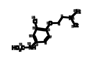 CCN(CC)CCOc1ccc(NC(=O)O)cc1Cl